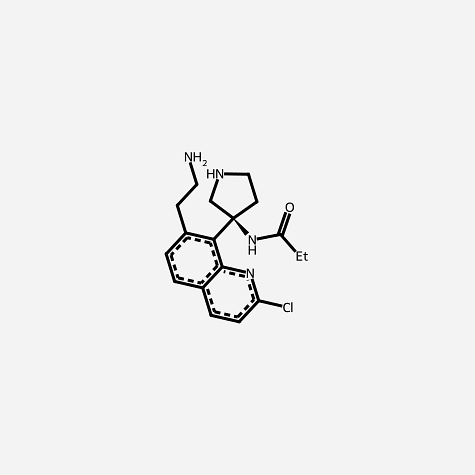 CCC(=O)N[C@]1(c2c(CCN)ccc3ccc(Cl)nc23)CCNC1